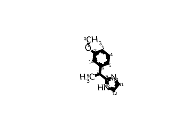 COc1cccc(C(C)c2ncc[nH]2)c1